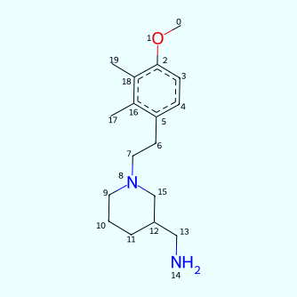 COc1ccc(CCN2CCCC(CN)C2)c(C)c1C